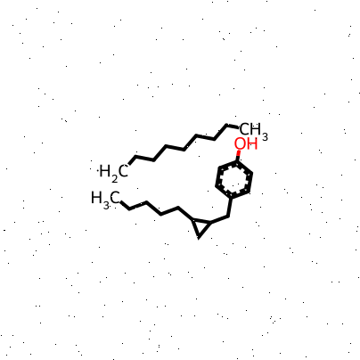 CCCCCC1CC1Cc1ccc(O)cc1.[CH2]CCCCCCCC